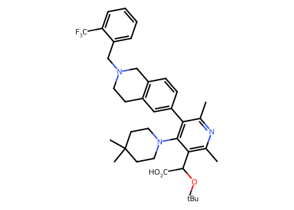 Cc1nc(C)c(C(OC(C)(C)C)C(=O)O)c(N2CCC(C)(C)CC2)c1-c1ccc2c(c1)CCN(Cc1ccccc1C(F)(F)F)C2